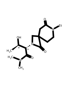 CCN1CCC2(CC1=O)CN([C@H](C(=O)N(C)C)[C@@H](C)O)C2=O